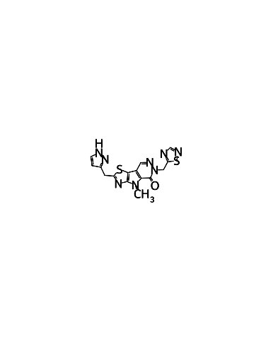 Cn1c2nc(Cc3cc[nH]n3)sc2c2cnn(Cc3ncns3)c(=O)c21